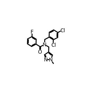 Cn1cc(CN(Cc2ccc(Cl)cc2Cl)C(=O)c2cccc(F)c2)cn1